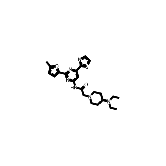 CCN(CC)C1CCN(CC(=O)Nc2cc(-c3nccs3)nc(-c3ccc(C)o3)n2)CC1